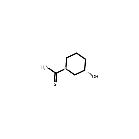 NC(=S)N1CCC[C@H](O)C1